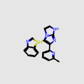 Cc1cccc(-c2nc3n(c2[SH]2C=Nc4ccccc42)CCN3)n1